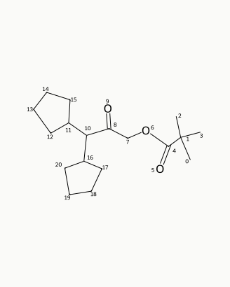 CC(C)(C)C(=O)OCC(=O)C(C1CCCC1)C1CCCC1